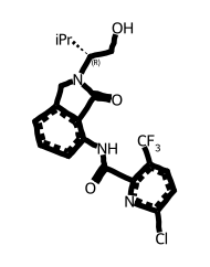 CC(C)[C@H](CO)N1Cc2cccc(NC(=O)c3nc(Cl)ccc3C(F)(F)F)c2C1=O